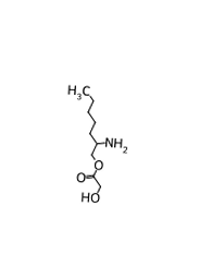 CCCCCC(N)COC(=O)CO